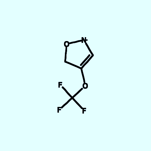 FC(F)(F)OC1=C[N]OC1